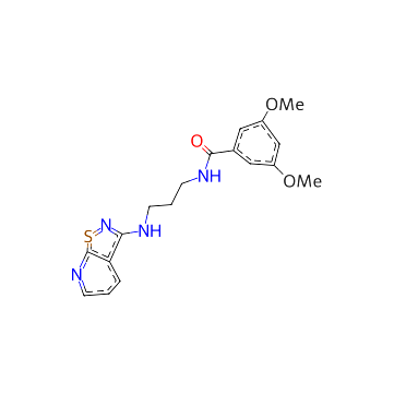 COc1cc(OC)cc(C(=O)NCCCNc2nsc3ncccc23)c1